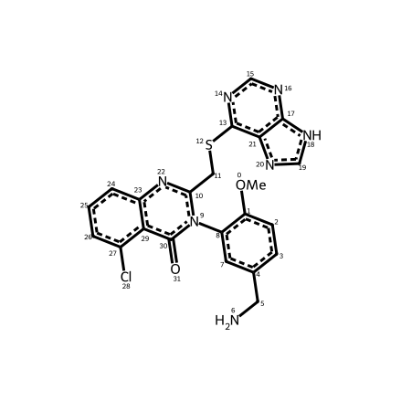 COc1ccc(CN)cc1-n1c(CSc2ncnc3[nH]cnc23)nc2cccc(Cl)c2c1=O